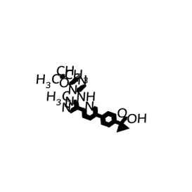 Cn1ncc(-c2ccc(-c3ccc(C4(C(=O)O)CC4)cc3)cn2)c1Nc1cncc(OC(C)(C)C)n1